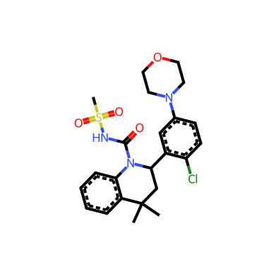 CC1(C)CC(c2cc(N3CCOCC3)ccc2Cl)N(C(=O)NS(C)(=O)=O)c2ccccc21